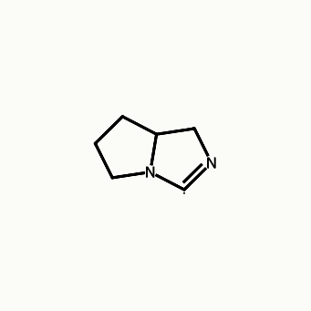 [C]1=NCC2CCCN12